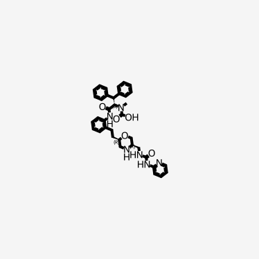 CN(C(=O)O)[C@H](C(=O)Nc1ccccc1CC[C@@H]1CN[C@H](CNC(=O)Nc2ccccn2)CO1)C(c1ccccc1)c1ccccc1